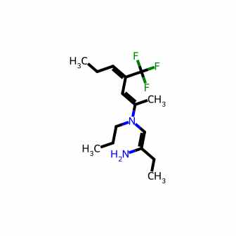 CC/C=C(\C=C(/C)N(/C=C(\N)CC)CCC)C(F)(F)F